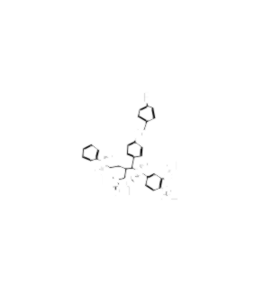 COc1ccc(S(=O)(=O)C(c2ccc(OCc3ccc(F)cc3)cc2)C(CCS(=O)(=O)c2ccccc2)C(=O)NO)cc1OC